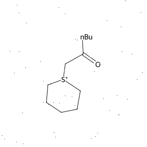 CCCCC(=O)C[S+]1CCCCC1